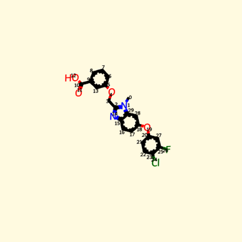 Cn1c(COc2cccc(C(=O)O)c2)nc2ccc(Oc3ccc(Cl)c(F)c3)cc21